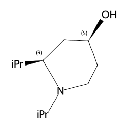 CC(C)[C@H]1C[C@@H](O)CCN1C(C)C